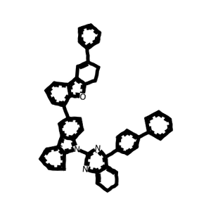 C1=C(c2ccccc2)CCc2oc3c(-c4ccc5c(c4)c4ccccc4n5-c4nc(-c5ccc(-c6ccccc6)cc5)c5c(n4)=CCCC=5)cccc3c21